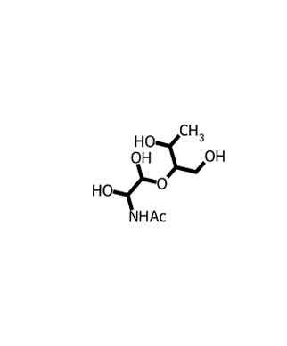 CC(=O)NC(O)C(O)OC(CO)C(C)O